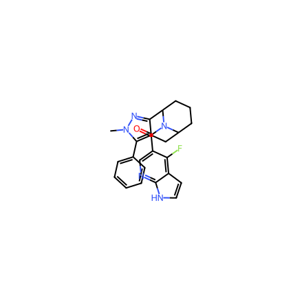 Cn1nc2c(c1-c1ccccc1)CC1CCCC2N1C(=O)c1cnc2[nH]ccc2c1F